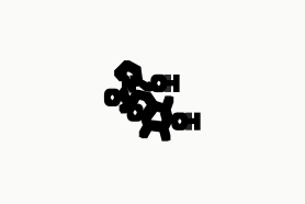 Cc1c(C)c2c(c(C)c1O)CCC(C)(C(=O)N1CCC[C@H]1CO)O2